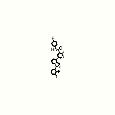 Cc1ncc(-c2cccn3c(-c4cccc(I)c4F)ncc23)cc1C(=O)Nc1ccc(F)cc1